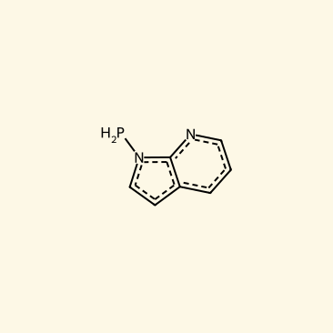 Pn1ccc2cccnc21